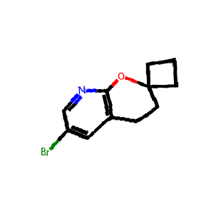 Brc1cnc2c(c1)CCC1(CCC1)O2